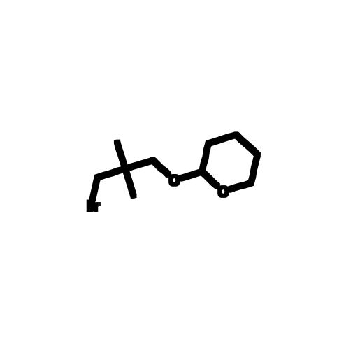 CC(C)(CBr)COC1CCCCO1